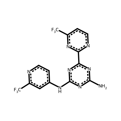 Nc1nc(Nc2ccnc(C(F)(F)F)c2)nc(-c2nccc(C(F)(F)F)n2)n1